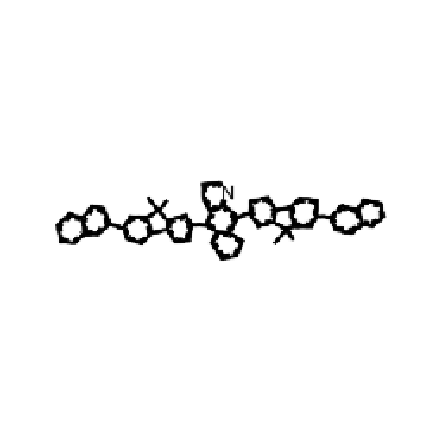 CC1(C)c2cc(-c3ccc4ccccc4c3)ccc2-c2ccc(-c3c4ccccc4c(-c4ccc5c(c4)C(C)(C)c4cc(-c6ccc7ccccc7c6)ccc4-5)c4ncccc34)cc21